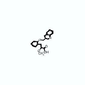 COC(Cc1ccccc1OCc1cnc2ccccc2c1)C(=O)O